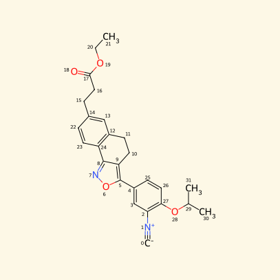 [C-]#[N+]c1cc(-c2onc3c2CCc2cc(CCC(=O)OCC)ccc2-3)ccc1OC(C)C